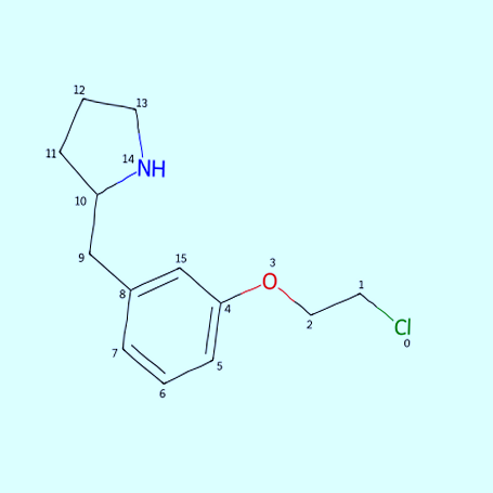 ClCCOc1cccc(CC2CCCN2)c1